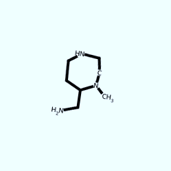 CN1CCNCCC1CN